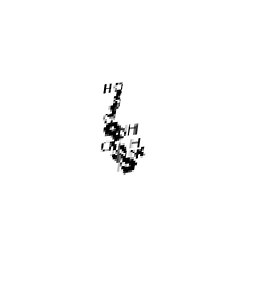 CC(C)Nc1cccnc1N1CCN(C(=O)c2c[nH]c3cc(OCCOCCO)ccc23)CC1